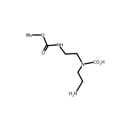 CC(C)(C)OC(=O)NCCN(CCN)C(=O)O